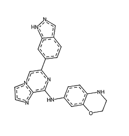 c1cn2cc(-c3ccc4cn[nH]c4c3)nc(Nc3ccc4c(c3)OCCN4)c2n1